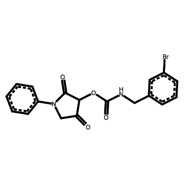 O=C(NCc1cccc(Br)c1)OC1C(=O)CN(c2ccccc2)C1=O